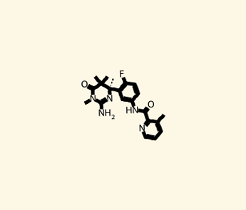 Cc1cccnc1C(=O)Nc1ccc(F)c([C@@]2(C)N=C(N)N(C)C(=O)C2(C)C)c1